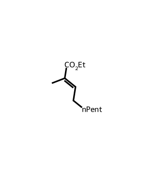 CCCCCCC=C(C)C(=O)OCC